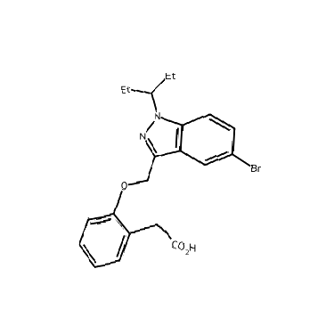 CCC(CC)n1nc(COc2ccccc2CC(=O)O)c2cc(Br)ccc21